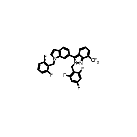 Fc1cc(F)c(Cn2nc3c(C(F)(F)F)cccc3c2-c2ccc3ccn(Cc4c(F)cccc4F)c3c2)c(F)c1